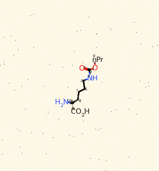 CCCOC(=O)NCCCC[C@@H](N)C(=O)O